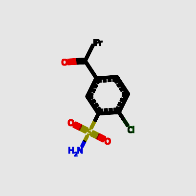 CC(C)C(=O)c1ccc(Cl)c(S(N)(=O)=O)c1